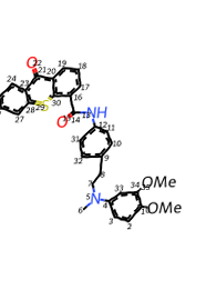 COc1ccc(N(C)CCc2ccc(NC(=O)c3cccc4c(=O)c5ccccc5sc34)cc2)cc1OC